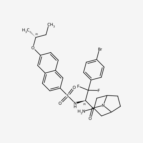 CC[C@@H](C)Oc1ccc2cc(S(=O)(=O)N[C@H](C(=O)N3C4CCC3CC(N)C4)C(F)(F)c3ccc(Br)cc3)ccc2c1